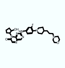 O=c1cnc2cnc(Nc3ccc(N4CCC(CCCN5CCOCC5)CC4)c(F)c3)nc2n1C1CCCC1O